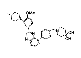 COc1ccc(-c2cnc3cccc(-c4ccc(CN5CCS(O)(O)CC5)cc4)c3n2)cc1N1CCC(C)CC1